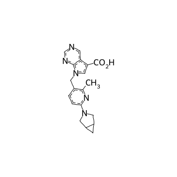 Cc1nc(N2CC3CC3C2)ccc1Cn1cc(C(=O)O)c2cncnc21